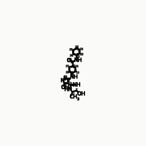 CC(CO)NC(=N)c1c(O)nsc1Nc1ccc(C(=O)Nc2ccccc2)cc1